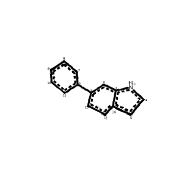 [c]1c[nH]c2cc(-c3ccccc3)ccc12